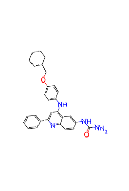 NC(=O)Nc1ccc2nc(-c3ccccc3)cc(Nc3ccc(OCC4CCCCC4)cc3)c2c1